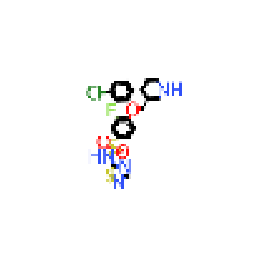 O=S(=O)(Nc1ncns1)c1ccc(OC[C@@H]2CNCC[C@H]2c2ccc(Cl)cc2)c(F)c1